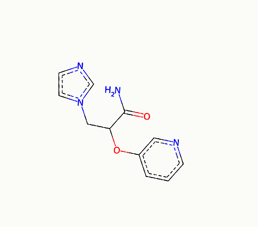 NC(=O)C(Cn1ccnc1)Oc1cccnc1